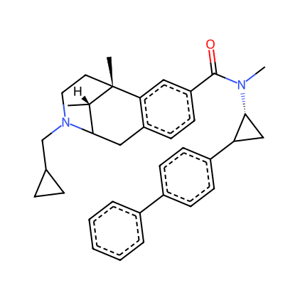 C[C@H]1C2Cc3ccc(C(=O)N(C)[C@@H]4CC4c4ccc(-c5ccccc5)cc4)cc3[C@@]1(C)CCN2CC1CC1